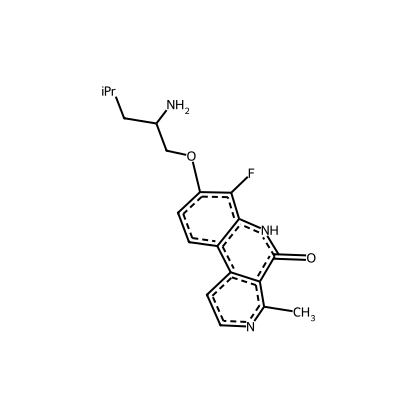 Cc1nccc2c1c(=O)[nH]c1c(F)c(OCC(N)CC(C)C)ccc12